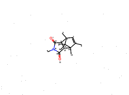 CC1=CC2(C)C3C(=O)N(C)C(=O)C3C1(C)C2(C)C